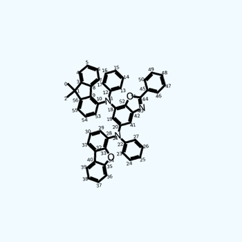 CC1(C)c2ccccc2-c2c(N(c3ccccc3)c3cc(N(c4ccccc4)c4cccc5c4oc4ccccc45)cc4nc(-c5ccccc5)oc34)cccc21